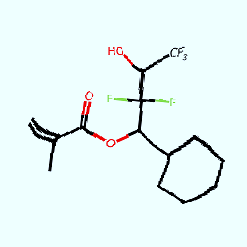 C=C(C)C(=O)OC(C1CCCCC1)C(F)(F)C(O)C(F)(F)F